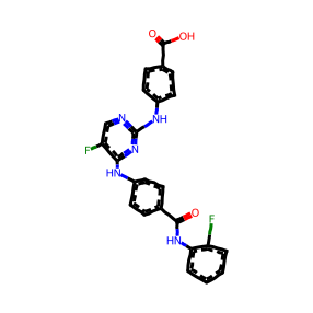 O=C(O)c1ccc(Nc2ncc(F)c(Nc3ccc(C(=O)Nc4ccccc4F)cc3)n2)cc1